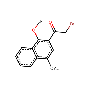 CC(=O)Oc1cc(C(=O)CBr)c(OC(C)C)c2ccccc12